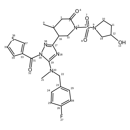 CC1CC(=O)N(S(=O)(=O)N2CCC(O)C2)CC1c1nc(N(C)Cc2ccc(F)cc2)n(C(=O)c2ccsc2)n1